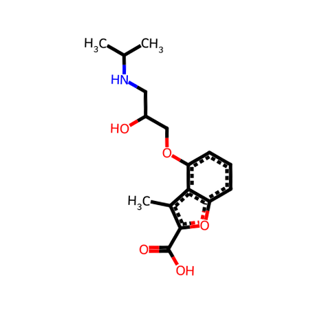 Cc1c(C(=O)O)oc2cccc(OCC(O)CNC(C)C)c12